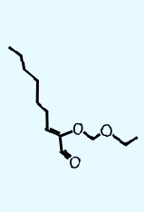 CCCCCCC=C(C=O)OCOCC